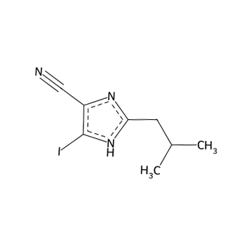 CC(C)Cc1nc(C#N)c(I)[nH]1